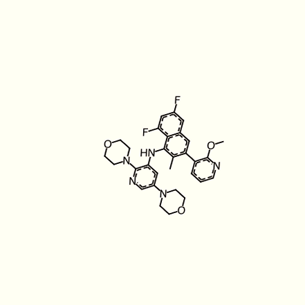 COc1ncccc1-c1cc2cc(F)cc(F)c2c(Nc2cc(N3CCOCC3)cnc2N2CCOCC2)c1C